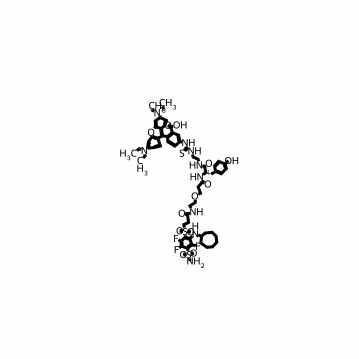 CCN(CC)c1ccc2c(-c3ccc(NC(=S)NCCNC(=O)[C@H](Cc4ccc(O)cc4)NC(=O)CCOCCNC(=O)CCS(=O)(=O)c4c(F)c(F)c(S(N)(=O)=O)c(F)c4NC4CCCCCCC4)cc3C(=O)O)c3ccc(=[N+](CC)CC)cc-3oc2c1